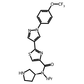 CCCN(C(=O)c1csc(-c2cnn(-c3ccc(OC(F)(F)F)cc3)c2)n1)[C@H]1CCNC1